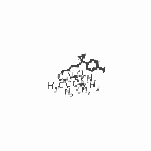 CC(C)(C)OC(=O)N1C(C=CC2(c3ccc(I)cc3)CC2)COC1(C)C